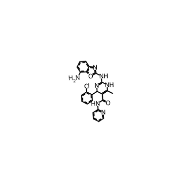 CC1=C(C(=O)Nc2ccccn2)C(c2ccccc2Cl)N=C(Nc2nc3cccc(N)c3o2)N1